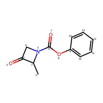 CC1C(=O)CN1C(=O)Oc1ccccc1